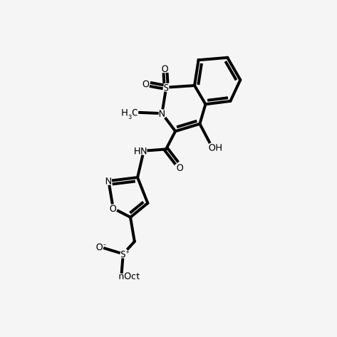 CCCCCCCC[S+]([O-])Cc1cc(NC(=O)C2=C(O)c3ccccc3S(=O)(=O)N2C)no1